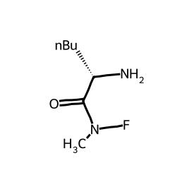 CCCC[C@H](N)C(=O)N(C)F